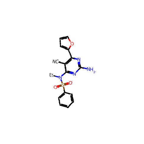 CCN(c1nc(N)nc(-c2ccco2)c1C#N)S(=O)(=O)c1ccccc1